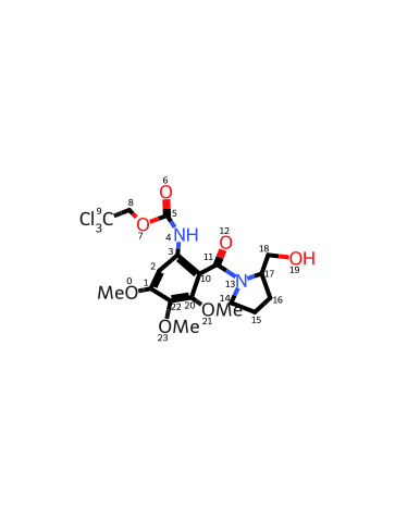 COc1cc(NC(=O)OCC(Cl)(Cl)Cl)c(C(=O)N2CCCC2CO)c(OC)c1OC